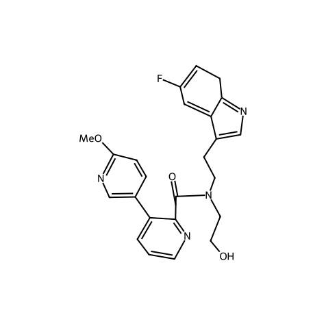 COc1ccc(-c2cccnc2C(=O)N(CCO)CCC2=CN=C3CC=C(F)C=C23)cn1